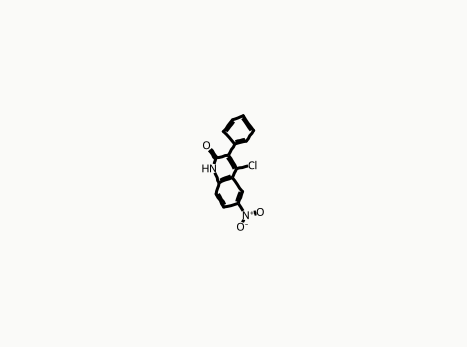 O=c1[nH]c2ccc([N+](=O)[O-])cc2c(Cl)c1-c1ccccc1